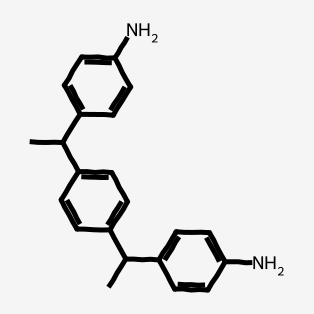 CC(c1ccc(N)cc1)c1ccc(C(C)c2ccc(N)cc2)cc1